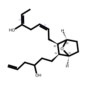 C=CCC(O)CC[C@H]1[C@@H](C/C=C\C/C(O)=C\C)[C@H]2CC[C@@H]1O2